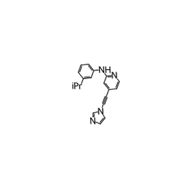 CC(C)c1cccc(Nc2cc(C#Cn3ccnc3)ccn2)c1